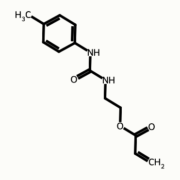 C=CC(=O)OCCNC(=O)Nc1ccc(C)cc1